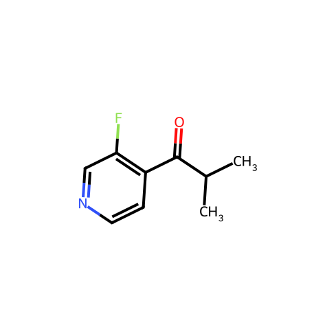 CC(C)C(=O)c1ccncc1F